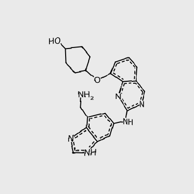 NCc1cc(Nc2ncc3cccc(OC4CCC(O)CC4)c3n2)cc2[nH]cnc12